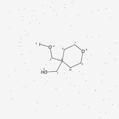 OCC1(COI)CCOCC1